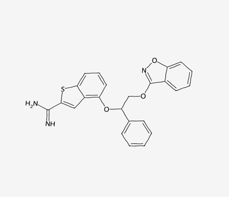 N=C(N)c1cc2c(OC(COc3noc4ccccc34)c3ccccc3)cccc2s1